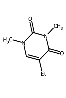 CCc1cn(C)c(=O)n(C)c1=O